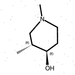 C[C@@H]1CN(C)CC[C@H]1O